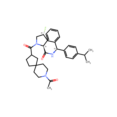 CC(=O)N1CCC2(CCC(C(=O)N3C[C@H](F)C[C@H]3C(=O)N[C@@H](c3ccccc3)c3ccc(C(C)C)cc3)C2)CC1